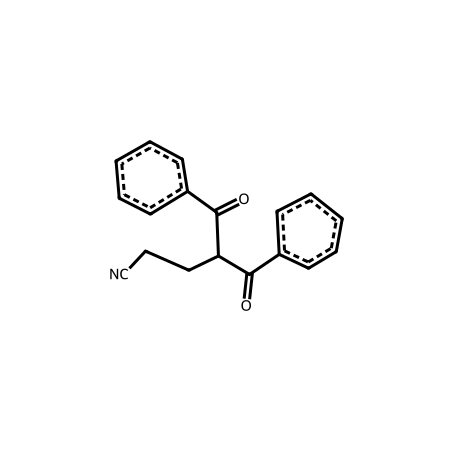 N#CCCC(C(=O)c1ccccc1)C(=O)c1ccccc1